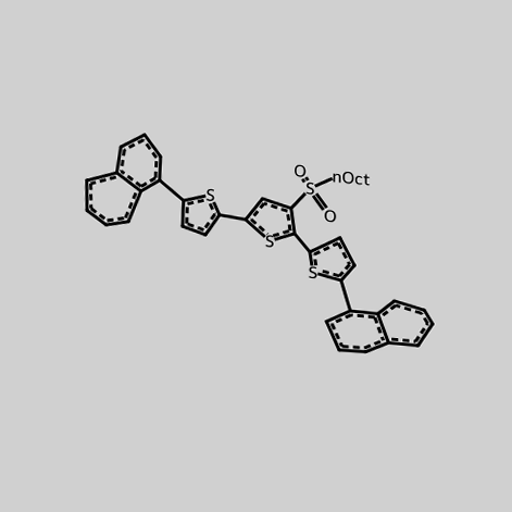 CCCCCCCCS(=O)(=O)c1cc(-c2ccc(-c3cccc4ccccc34)s2)sc1-c1ccc(-c2cccc3ccccc23)s1